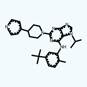 Cc1ccc(C(C)(C)C)cc1Nc1nc(N2CCC(c3ccncc3)CC2)nc2ncn(C(C)C)c12